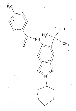 CC(C)(O)c1cc2nn(C3CCCCC3)cc2cc1NC(=O)c1ccc(C(F)(F)F)cc1